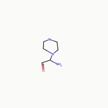 NC(C=O)N1CC[N]CC1